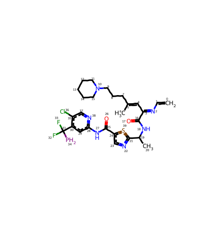 C=C/N=C(\C=C(/C)CCCN1CCCCC1)C(=O)NC(C)c1ncc(C(=O)Nc2cc(C(F)(F)P)c(Cl)cn2)s1